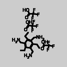 CCc1c(CN)c(CC)c(CN)c(CC)c1CN.O=C(O)C(F)(F)F.O=C(O)C(F)(F)F.O=C(O)C(F)(F)F